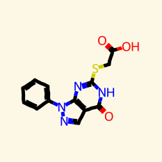 O=C(O)CSc1nc2c(cnn2-c2ccccc2)c(=O)[nH]1